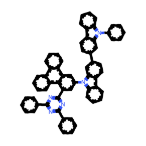 c1ccc(-c2nc(-c3ccccc3)nc(-c3cc(-n4c5ccccc5c5ccc(-c6ccc7c8ccccc8n(-c8ccccc8)c7c6)cc54)cc4c5ccccc5c5ccccc5c34)n2)cc1